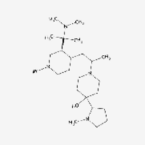 CC(C)N1CCC(CC(C)N2CCC(O)(C3CCCN3C)CC2)[C@H](C(C)(C)N(C)C)C1